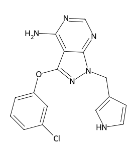 Nc1ncnc2c1c(Oc1cccc(Cl)c1)nn2Cc1cc[nH]c1